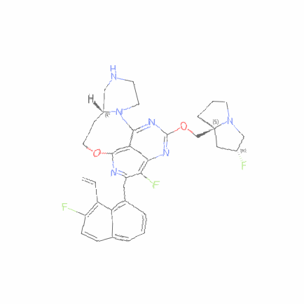 C=Cc1c(F)ccc2cccc(-c3nc4c5c(nc(OC[C@@]67CCCN6C[C@H](F)C7)nc5c3F)N3CCNC[C@H]3CCO4)c12